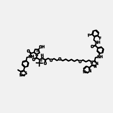 Cc1ncsc1-c1ccc(CNC(=O)C2C[C@@H](O)CN2C(=O)[C@@H](NC(=O)COCCOCCCCCCOCCCn2c(CNc3cccc(C(=O)NCc4c(F)cccc4F)c3)nnc2-c2ccncn2)C(C)(C)C)cc1